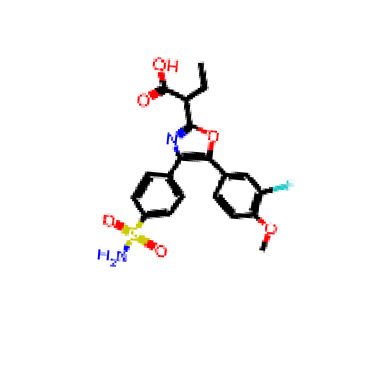 CCC(C(=O)O)c1nc(-c2ccc(S(N)(=O)=O)cc2)c(-c2ccc(OC)c(F)c2)o1